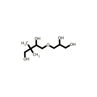 CC(C)(CO)C(O)COCC(O)CO